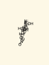 C[C@@H]1C[C@H]([C@H](N=[N+]=[N-])C(C)(C)O)O[C@H]2[C@H]1[C@@]1(C)CC[C@@]34C[C@@]35CC[C@H](O[C@H]3CN(C6COC6)CCO3)C(C)(C)[C@@H]5CC[C@H]4[C@]1(C)[C@H]2O